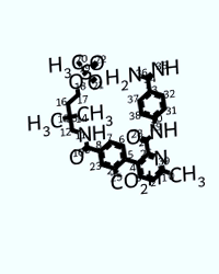 Cc1ccc(-c2ccc(C(=O)NCC(C)(C)CCOS(C)(=O)=O)cc2C(=O)O)c(C(=O)Nc2ccc(C(=N)N)cc2)n1